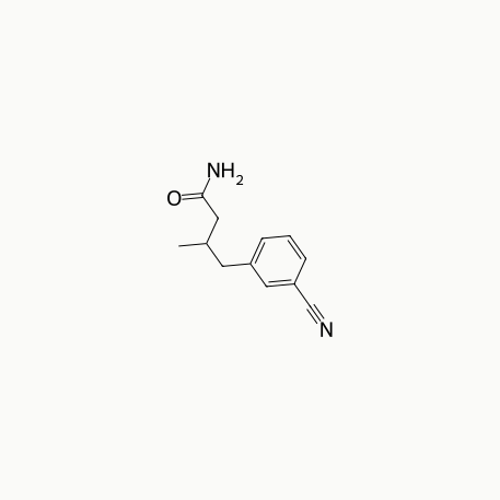 CC(CC(N)=O)Cc1cccc(C#N)c1